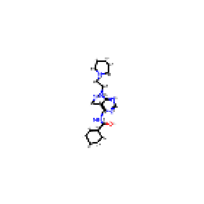 O=C(Nc1ncnc2c1cnn2CCN1CCCCC1)C1CCCCC1